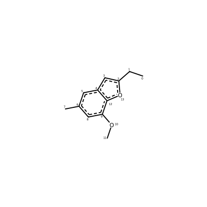 CCc1cc2cc(C)cc(OC)c2o1